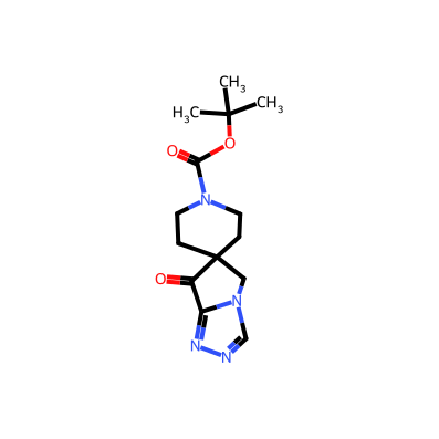 CC(C)(C)OC(=O)N1CCC2(CC1)Cn1cnnc1C2=O